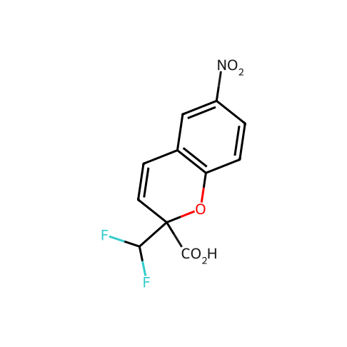 O=C(O)C1(C(F)F)C=Cc2cc([N+](=O)[O-])ccc2O1